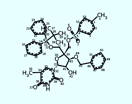 Cc1ccc(S(=O)(=O)OC[C@]2(CO[Si](c3ccccc3)(c3ccccc3)C(C)(C)C)O[C@@H](n3cc(C)c(=O)[nH]c3=O)[C@H](O)[C@@H]2OCc2ccccc2)cc1